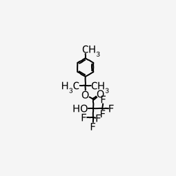 Cc1ccc(C(C)(C)OC(=O)C(O)(C(F)(F)F)C(F)(F)F)cc1